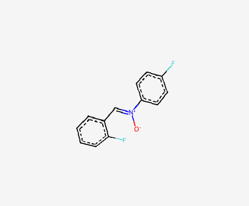 [O-][N+](=Cc1ccccc1F)c1ccc(F)cc1